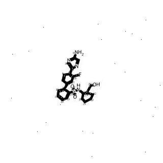 Nc1cnc(-c2ccc(-c3ccccc3S(=O)(=O)NC3CCCCC3CO)cc2F)cn1